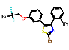 CC(C)c1ccccc1-c1nc(Br)sc1-c1cccc(OCC(F)(F)C(C)(C)C)c1